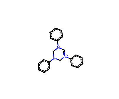 C1=[N+](c2ccccc2)CN(c2ccccc2)CN1c1ccccc1